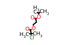 C=C(C)OC(=O)CCOC(=O)C(C)(C)Cl